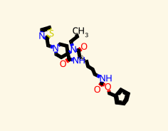 CCCN1C(=O)[C@H](CCCCNC(=O)OCc2ccccc2)NC(=O)C12CCN(Cc1nccs1)CC2